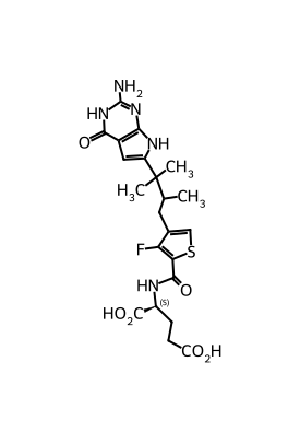 CC(Cc1csc(C(=O)N[C@@H](CCC(=O)O)C(=O)O)c1F)C(C)(C)c1cc2c(=O)[nH]c(N)nc2[nH]1